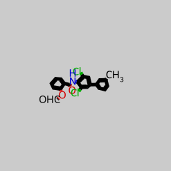 Cc1cccc(-c2cc(Cl)c(NC(=O)c3ccccc3OC=O)c(Cl)c2)c1